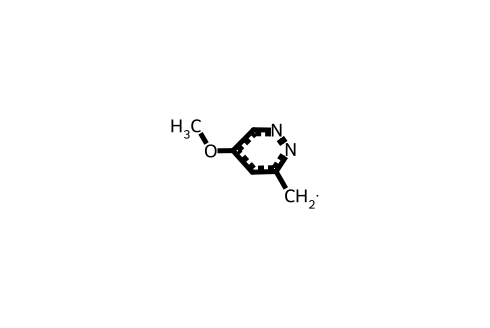 [CH2]c1cc(OC)cnn1